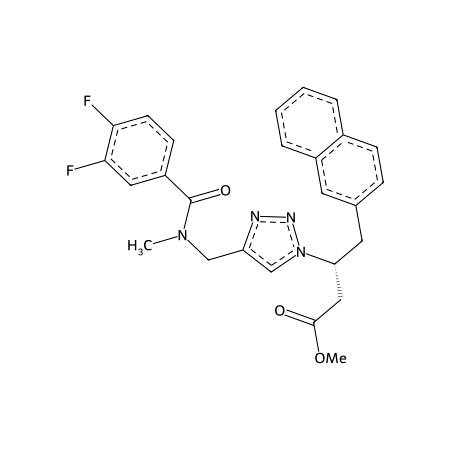 COC(=O)C[C@@H](Cc1ccc2ccccc2c1)n1cc(CN(C)C(=O)c2ccc(F)c(F)c2)nn1